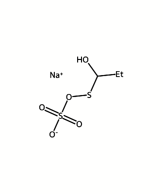 CCC(O)SOS(=O)(=O)[O-].[Na+]